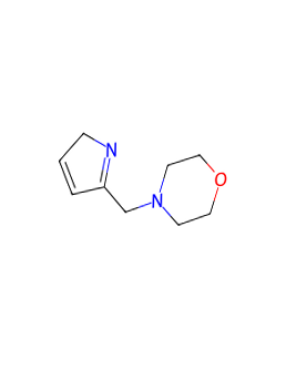 C1=CC(CN2CCOCC2)=NC1